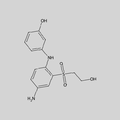 Nc1ccc(Nc2cccc(O)c2)c(S(=O)(=O)CCO)c1